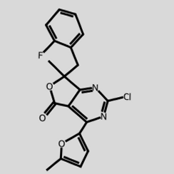 Cc1ccc(-c2nc(Cl)nc3c2C(=O)OC3(C)Cc2ccccc2F)o1